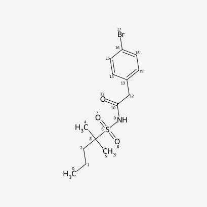 CCCC(C)(C)S(=O)(=O)NC(=O)Cc1ccc(Br)cc1